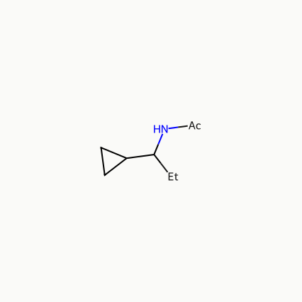 CCC(NC(C)=O)C1CC1